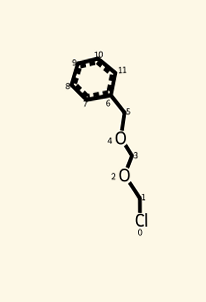 ClCOCOCc1ccccc1